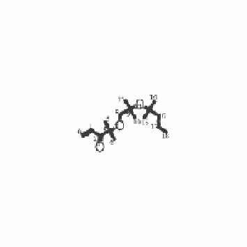 C=CC(=O)C(C)(C)OCC(C)(C)OC(C)(C)CCC